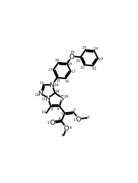 COC=C(C(=O)OC)C1=C(C)N2N=CN(c3ccc(Oc4ccccc4)cc3)C2S1